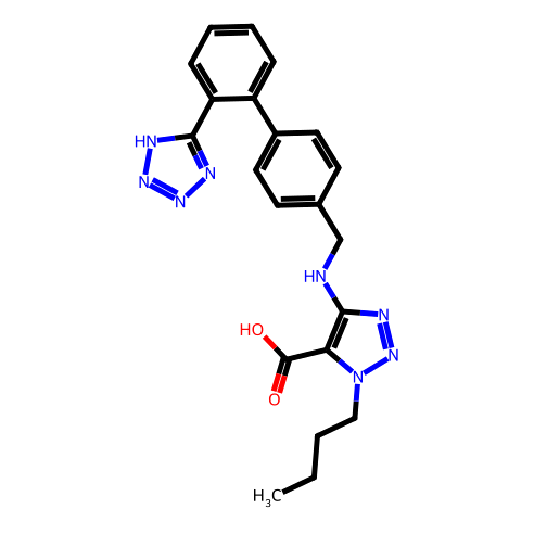 CCCCn1nnc(NCc2ccc(-c3ccccc3-c3nnn[nH]3)cc2)c1C(=O)O